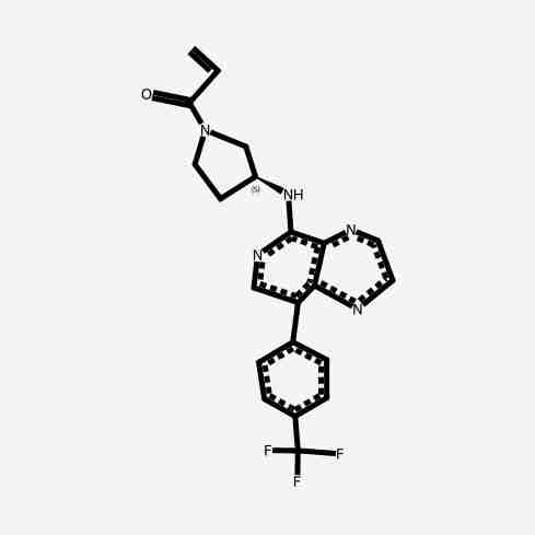 C=CC(=O)N1CC[C@H](Nc2ncc(-c3ccc(C(F)(F)F)cc3)c3nccnc23)C1